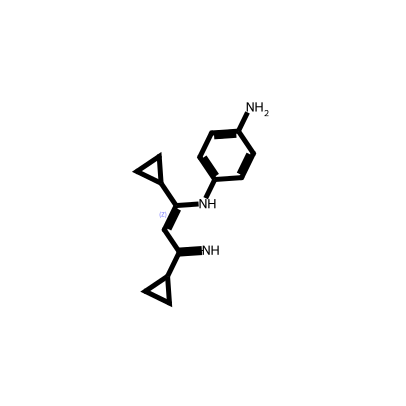 N=C(/C=C(\Nc1ccc(N)cc1)C1CC1)C1CC1